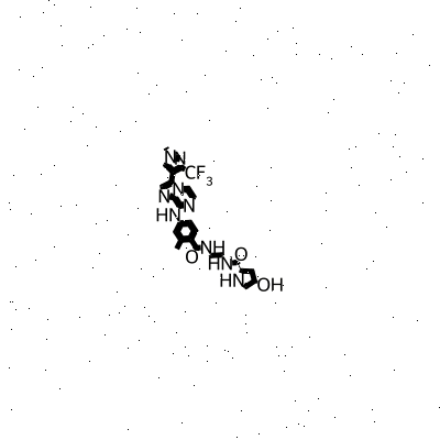 Cc1cc(Nc2nccn3c(-c4cn(C)nc4C(F)(F)F)cnc23)ccc1C(=O)NCCNC(=O)[C@@H]1C[C@@H](O)CN1